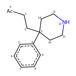 CC(=O)CCC1(c2ccccc2)CCNCC1